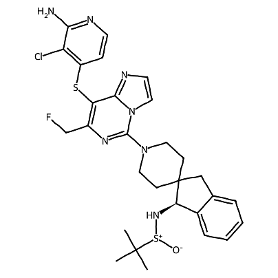 CC(C)(C)[S+]([O-])N[C@@H]1c2ccccc2CC12CCN(c1nc(CF)c(Sc3ccnc(N)c3Cl)c3nccn13)CC2